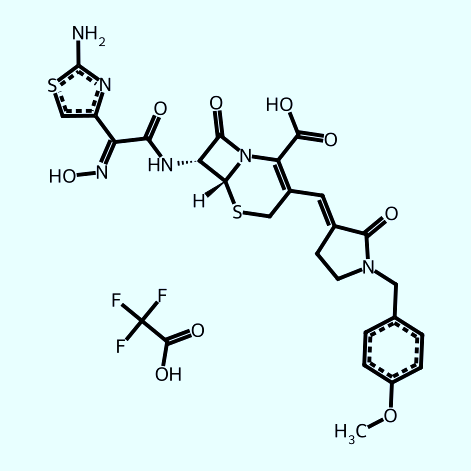 COc1ccc(CN2CCC(=CC3=C(C(=O)O)N4C(=O)[C@@H](NC(=O)C(=NO)c5csc(N)n5)[C@H]4SC3)C2=O)cc1.O=C(O)C(F)(F)F